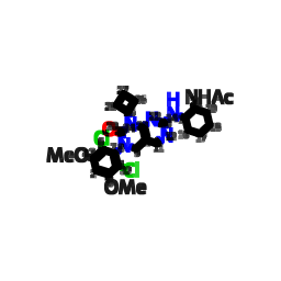 COc1cc(OC)c(Cl)c(N2Cc3cnc(NC4CCCCC4NC(C)=O)nc3N(C3CCC3)C2=O)c1Cl